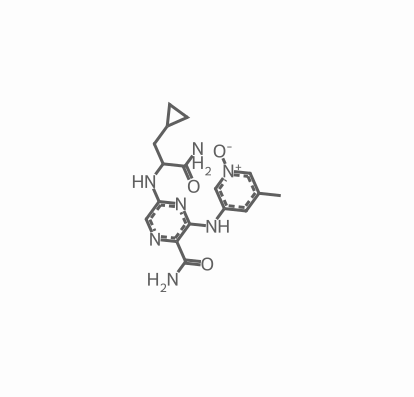 Cc1cc(Nc2nc(NC(CC3CC3)C(N)=O)cnc2C(N)=O)c[n+]([O-])c1